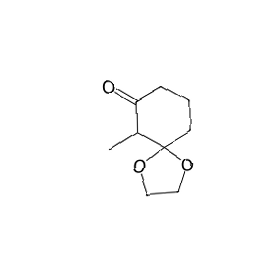 CC1C(=O)CCCC12OCCO2